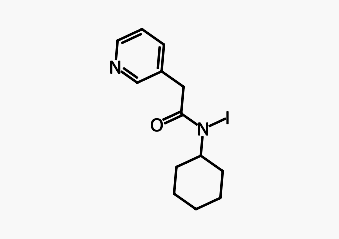 O=C(Cc1cccnc1)N(I)C1CCCCC1